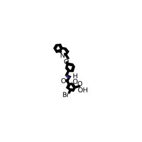 O=C(O)c1cc(Br)cc(C(=O)/C=C/c2cccc(OCc3ccc4ccccc4n3)c2)c1O